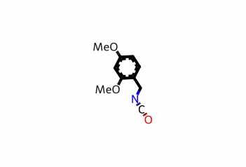 COc1ccc(CN=C=O)c(OC)c1